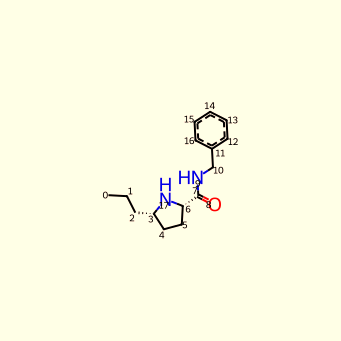 CCC[C@H]1CC[C@@H](C(=O)NCc2ccccc2)N1